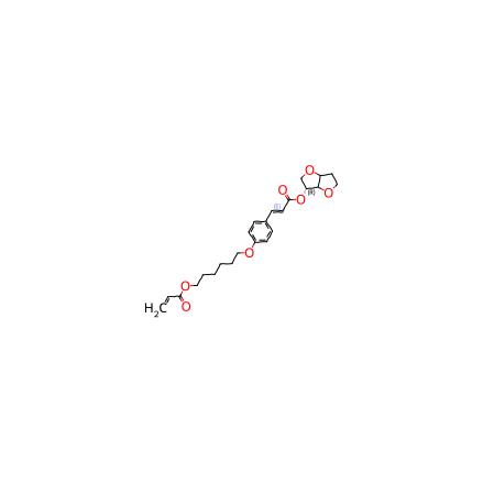 C=CC(=O)OCCCCCCOc1ccc(/C=C/C(=O)O[C@@H]2COC3CCOC32)cc1